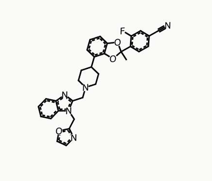 CC1(c2ccc(C#N)cc2F)Oc2cccc(C3CCN(Cc4nc5ccccc5n4Cc4ncco4)CC3)c2O1